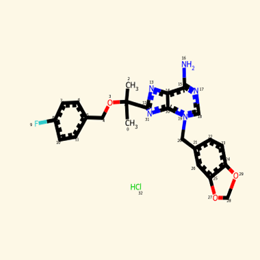 CC(C)(OCc1ccc(F)cc1)c1nc2c(N)ncn(Cc3ccc4c(c3)OCO4)c-2n1.Cl